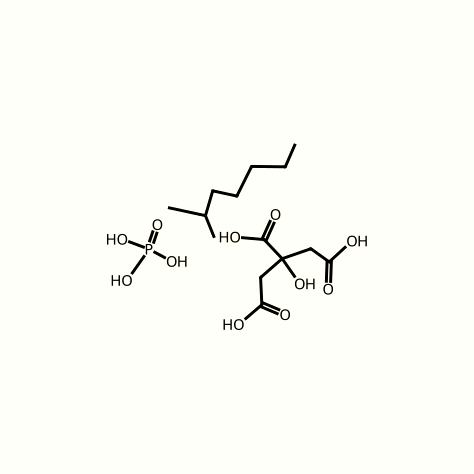 CCCCCC(C)C.O=C(O)CC(O)(CC(=O)O)C(=O)O.O=P(O)(O)O